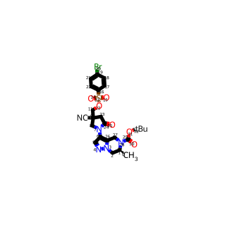 C[C@H]1Cn2ncc(N3CC(C#N)(COS(=O)(=O)c4ccc(Br)cc4)CC3=O)c2CN1C(=O)OC(C)(C)C